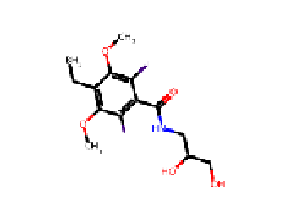 BCc1c(OC)c(I)c(C(=O)NCC(O)CO)c(I)c1OC